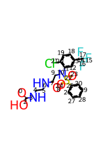 O=C(O)NCCNC(=O)CN(c1cc(C(F)(F)F)ccc1Cl)S(=O)(=O)c1ccccc1